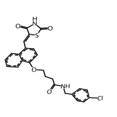 O=C(CCCOc1ccc(/C=C2\SC(=O)NC2=O)c2ccccc12)NCc1ccc(Cl)cc1